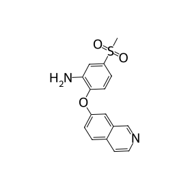 CS(=O)(=O)c1ccc(Oc2ccc3ccncc3c2)c(N)c1